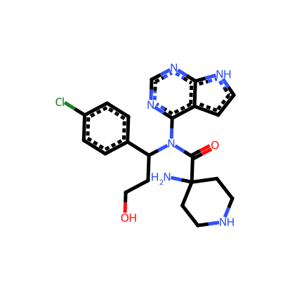 NC1(C(=O)N(c2ncnc3[nH]ccc23)C(CCO)c2ccc(Cl)cc2)CCNCC1